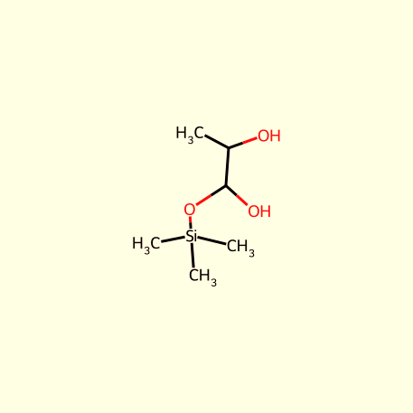 CC(O)C(O)O[Si](C)(C)C